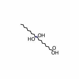 CCCCCCCC/C(O)=C(\O)CCCCCCCC(=O)O